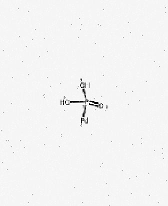 O=[P](O)(O)[Pd]